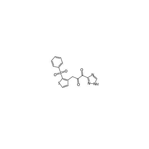 O=C(Cc1ccsc1S(=O)(=O)c1ccccc1)C(=O)c1nc[nH]n1